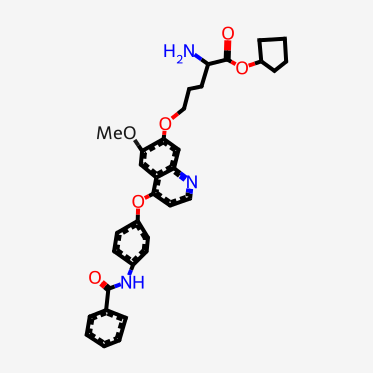 COc1cc2c(Oc3ccc(NC(=O)c4ccccc4)cc3)ccnc2cc1OCCCC(N)C(=O)OC1CCCC1